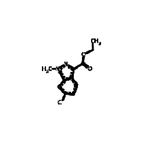 CCOC(=O)c1nn(C)c2cc(Cl)ccc12